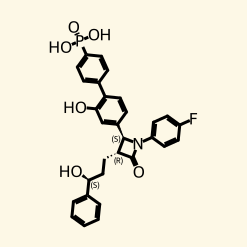 O=C1[C@H](CC[C@H](O)c2ccccc2)[C@@H](c2ccc(-c3ccc(P(=O)(O)O)cc3)c(O)c2)N1c1ccc(F)cc1